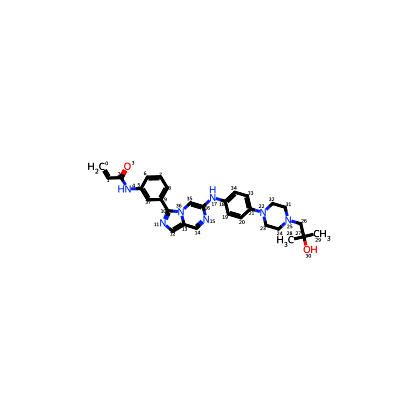 C=CC(=O)Nc1cccc(-c2ncc3cnc(Nc4ccc(N5CCN(CC(C)(C)O)CC5)cc4)cn23)c1